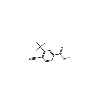 CO[N+](=O)c1ccc(C#N)c(C(C)(C)C)c1